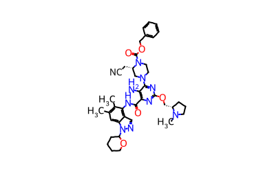 Cc1cc2c(cnn2C2CCCCO2)c(NC(=O)c2nc(OC[C@@H]3CCCN3C)nc(N3CCN(C(=O)OCc4ccccc4)[C@@H](CC#N)C3)c2N)c1C